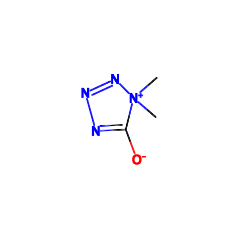 C[N+]1(C)N=NN=C1[O-]